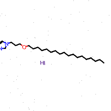 CCCCCCCCCCCCCCCCCCOCCCN1C=CN(C)C1.I